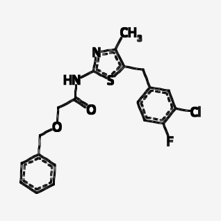 Cc1nc(NC(=O)COCc2ccccc2)sc1Cc1ccc(F)c(Cl)c1